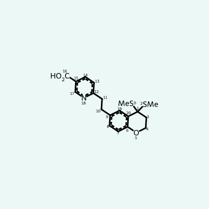 CSC1(SC)CCOc2ccc(CCc3ccc(C(=O)O)cn3)cc21